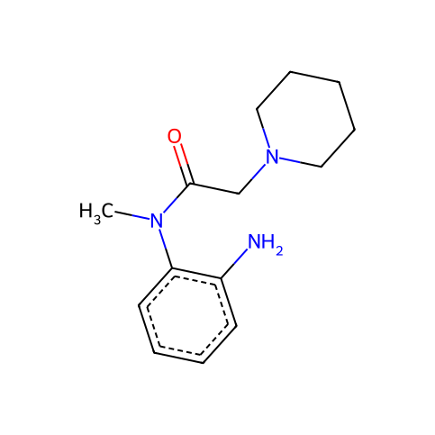 CN(C(=O)CN1CCCCC1)c1ccccc1N